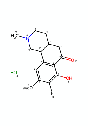 CCc1c(OC)cc2c(c1O)C(=O)CC1CCN(C)CC21.Cl